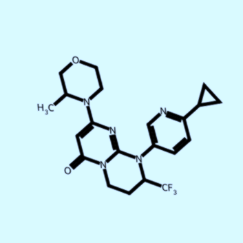 CC1COCCN1c1cc(=O)n2c(n1)N(c1ccc(C3CC3)nc1)C(C(F)(F)F)CC2